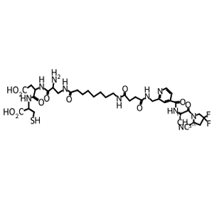 C[C@@H](NC(=O)c1ccnc(CNC(=O)CCC(=O)NCCCCCCCC(=O)NCC(N)C(=O)NC(CC(=O)O)C(=O)NC(CS)C(=O)O)c1)C(=O)N1CC(F)(F)C[C@H]1C#N